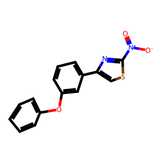 O=[N+]([O-])c1nc(-c2cccc(Oc3ccccc3)c2)cs1